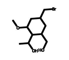 COC1CC(CBr)CC(CO)C1C(C)O